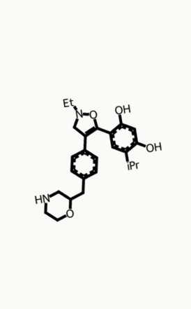 CCN1CC(c2ccc(CC3CNCCO3)cc2)=C(c2cc(C(C)C)c(O)cc2O)O1